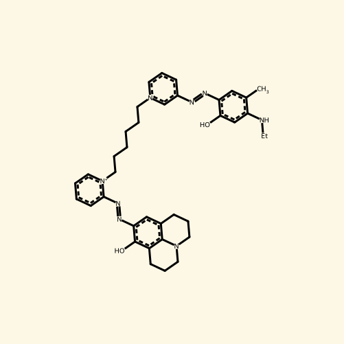 CCNc1cc(O)c(/N=N/c2ccc[n+](CCCCCC[n+]3ccccc3N=Nc3cc4c5c(c3O)CCCN5CCC4)c2)cc1C